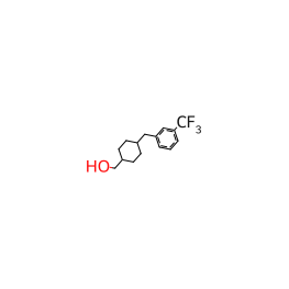 OCC1CCC(Cc2cccc(C(F)(F)F)c2)CC1